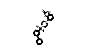 [2H]C([2H])(c1cccc(-c2ccccc2)c1)N1CCN(c2cccc3[nH]c(=O)oc23)CC1